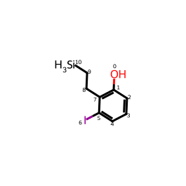 Oc1cccc(I)c1CC[SiH3]